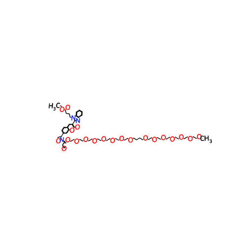 CCOC(=O)CCCn1c(-c2cc3ccc(C4CON4C(=C=O)OCCOCCOCCOCCOCCOCCOCCOCCCCOCCOCCOCCOCCOCCOCCOC)cc3oc2=O)nc2ccccc21